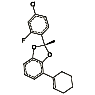 C[C@]1(c2ccc(Cl)cc2F)Oc2cccc(C3=CCCCC3)c2O1